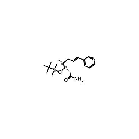 C[C@H](CC=Cc1cccnc1)[C@H](CC(N)=O)O[Si](C)(C)C(C)(C)C